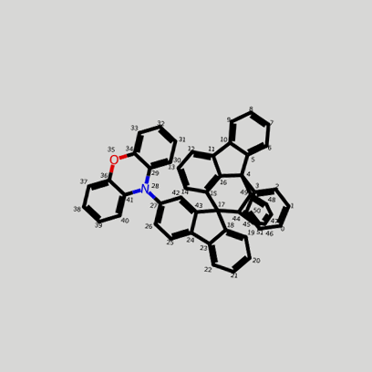 c1ccc(C23c4ccccc4-c4cccc(c42)C2(c4ccccc4-c4ccc(N5c6ccccc6Oc6ccccc65)cc42)c2ccccc23)cc1